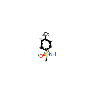 CCc1ccc(S(C)(=N)=O)cc1